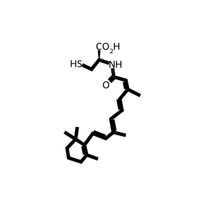 CC(C=CC1=C(C)CCCC1(C)C)=CC=C/C(C)=C\C(=O)N[C@@H](CS)C(=O)O